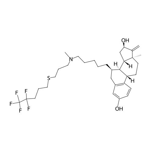 C=C1[C@H](O)C[C@H]2[C@@H]3[C@H](CCCCCN(C)CCCSCCCC(F)(F)C(F)(F)F)Cc4cc(O)ccc4[C@H]3CC[C@]12C